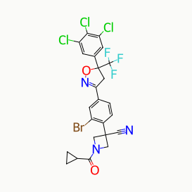 N#CC1(c2ccc(C3=NOC(c4cc(Cl)c(Cl)c(Cl)c4)(C(F)(F)F)C3)cc2Br)CN(C(=O)C2CC2)C1